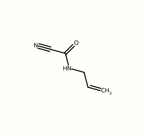 C=CCNC(=O)C#N